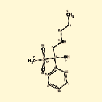 CCCNCC(O)(c1ccccc1)S(C)(=O)=O